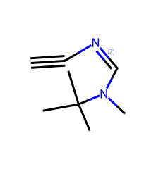 C#C/N=C\N(C)C(C)(C)C